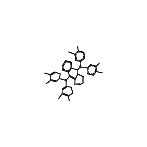 CC1=CCC(N(C2=CC(C)=C(C)CC2)C2=C3C=CC=CC3C(N(c3ccc(C)c(C)c3)c3ccc(C)c(C)c3)c3ccccc32)C=C1C